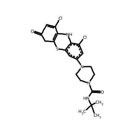 CC(C)(C)NC(=O)N1CCN(c2cc(Cl)c3c(c2)SC2=C(N3)C(Cl)=CC(=O)C2)CC1